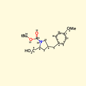 COc1ccc(CC2CC(C(=O)O)N(C(=O)OC(C)(C)C)C2)cc1